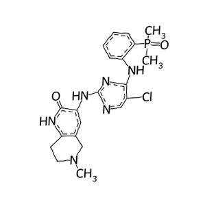 CN1CCc2[nH]c(=O)c(Nc3ncc(Cl)c(Nc4ccccc4P(C)(C)=O)n3)cc2C1